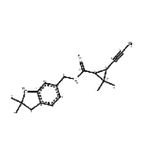 CC1(C)Cc2ccc(COC(=O)C3C(C#CBr)C3(C)C)cc2O1